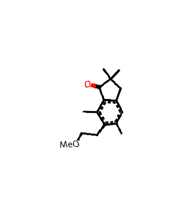 COCCc1c(C)cc2c(c1C)C(=O)C(C)(C)C2